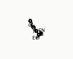 CCOc1cc(-c2ccc(N3CCN(C(=O)Cc4ccccc4)CC3)nc2)c2c(C#N)cnn2c1